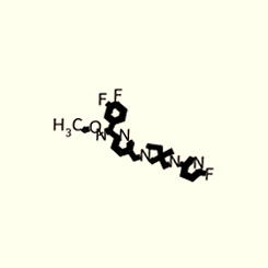 CCON=C(c1ccc(F)c(F)c1)c1ccc(CN2CCC3(C2)CN(c2ccc(F)nc2)C3)cn1